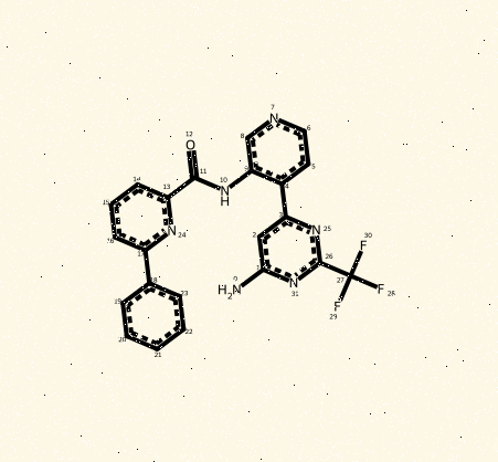 Nc1cc(-c2ccncc2NC(=O)c2cccc(-c3ccccc3)n2)nc(C(F)(F)F)n1